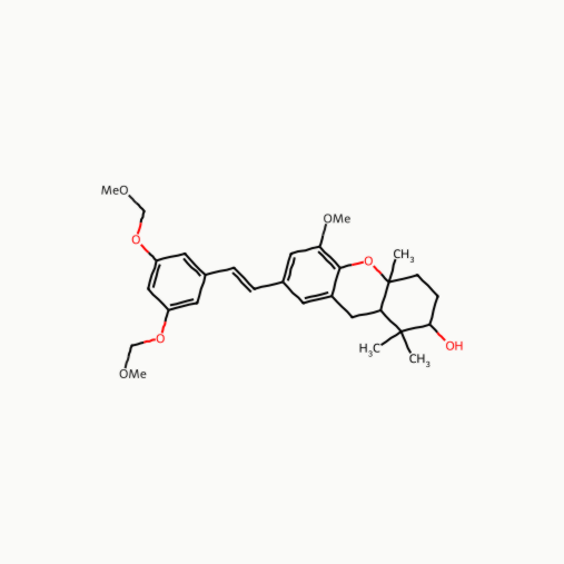 COCOc1cc(/C=C/c2cc3c(c(OC)c2)OC2(C)CCC(O)C(C)(C)C2C3)cc(OCOC)c1